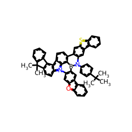 CC(C)(C)c1ccc(N2B3c4cc5c(cc4-n4c6ccc7c(c6c6ccc(c3c64)-c3cc4sc6ccccc6c4cc32)-c2ccccc2C7(C)C)oc2ccccc25)cc1